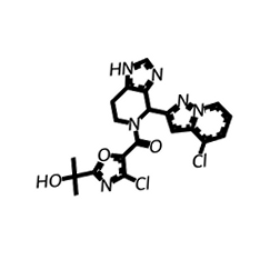 CC(C)(O)c1nc(Cl)c(C(=O)N2CCc3[nH]cnc3C2c2cc3c(Cl)cccn3n2)o1